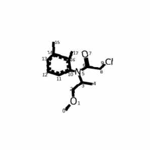 COCC(C)N(C(=O)CCl)c1cccc(C)c1C